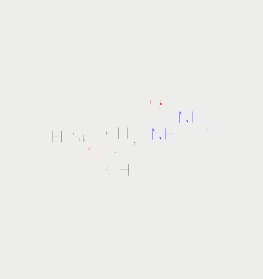 CC(C)(CCNC(N)=O)O[SiH3]